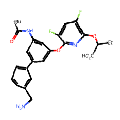 CCC(Oc1nc(Oc2cc(NC(=O)C(C)(C)C)cc(-c3cccc(CN)c3)c2)c(F)cc1F)C(=O)O